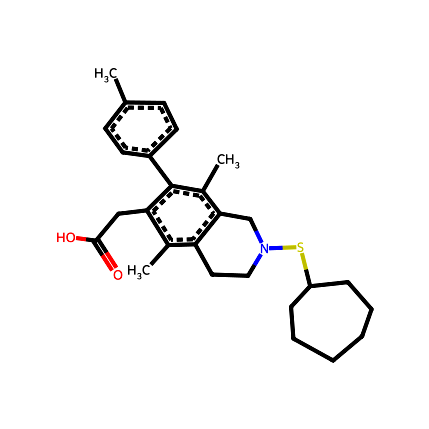 Cc1ccc(-c2c(C)c3c(c(C)c2CC(=O)O)CCN(SC2CCCCCC2)C3)cc1